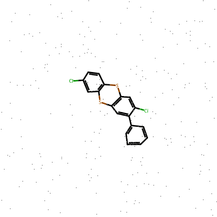 Clc1ccc2c(c1)Sc1cc(-c3ccccc3)c(Cl)cc1S2